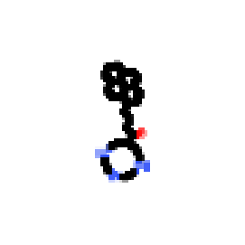 O=C(CCCc1ccc2ccc3cccc4ccc1c2c34)C1CCNCCNCCNCC1